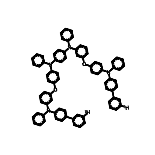 [3H]c1cccc(-c2ccc(N(c3ccccc3)c3ccc(Oc4cccc(N(c5ccccc5)c5ccc(N(c6ccccc6)c6ccc(Oc7cccc(N(c8ccccc8)c8ccc(-c9cccc([3H])c9)cc8)c7)cc6)cc5)c4)cc3)cc2)c1